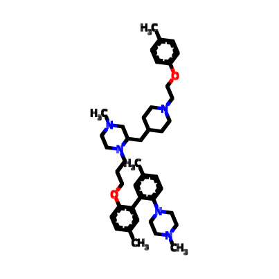 Cc1ccc(OCCN2CCC(CC3CN(C)CCN3CCCOc3ccc(C)cc3-c3cc(C)ccc3N3CCN(C)CC3)CC2)cc1